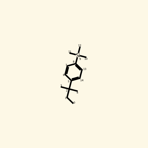 CCC(C)(C)c1ccc([Si](C)(C)C)cc1